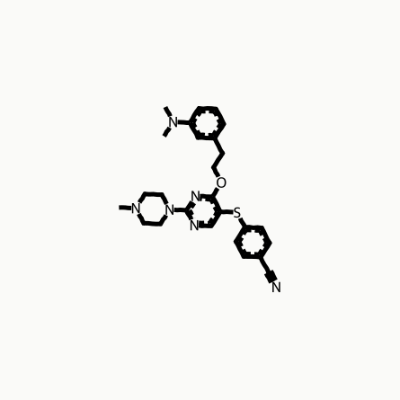 CN1CCN(c2ncc(Sc3ccc(C#N)cc3)c(OCCc3cccc(N(C)C)c3)n2)CC1